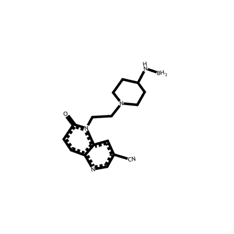 BNC1CCN(CCn2c(=O)ccc3ncc(C#N)cc32)CC1